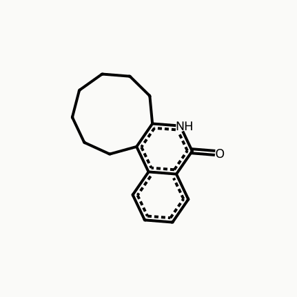 O=c1[nH]c2c(c3ccccc13)CCCCCCC2